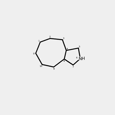 C1CCCC2CNCC2CC1